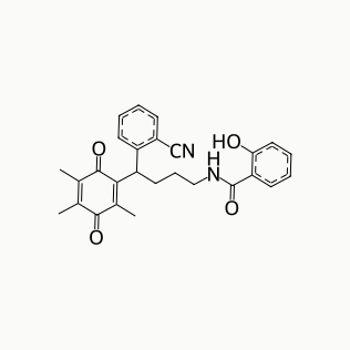 CC1=C(C)C(=O)C(C(CCCNC(=O)c2ccccc2O)c2ccccc2C#N)=C(C)C1=O